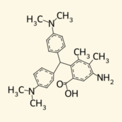 Cc1c(N)cc(C(=O)O)c(C(c2ccc(N(C)C)cc2)c2ccc(N(C)C)cc2)c1C